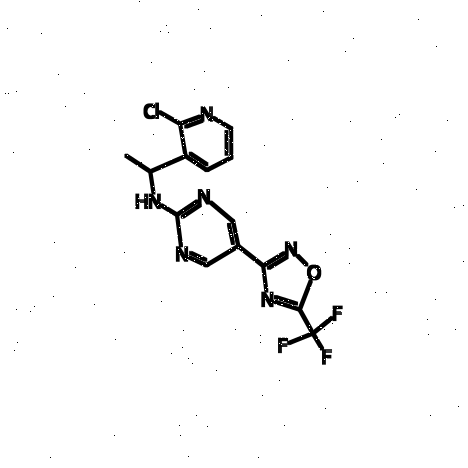 CC(Nc1ncc(-c2noc(C(F)(F)F)n2)cn1)c1cccnc1Cl